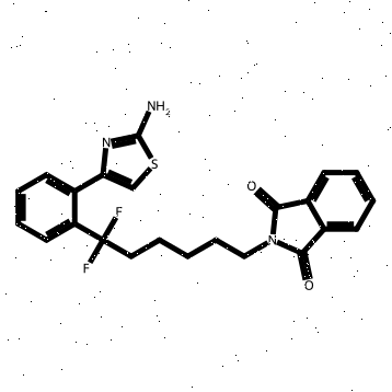 Nc1nc(-c2ccccc2C(F)(F)CCCCCN2C(=O)c3ccccc3C2=O)cs1